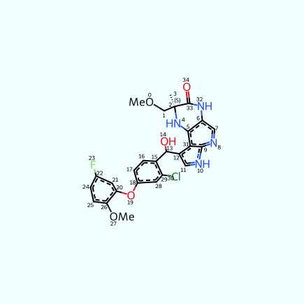 COC[C@]1(C)Nc2c(cnc3[nH]cc(C(O)c4ccc(Oc5cc(F)ccc5OC)cc4Cl)c23)NC1=O